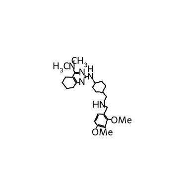 COc1ccc(CNCC2CCC(Nc3nc4c(c(N(C)C)n3)CCCC4)CC2)c(OC)c1